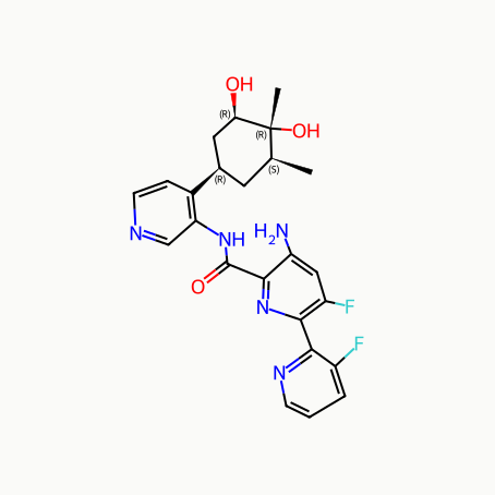 C[C@H]1C[C@@H](c2ccncc2NC(=O)c2nc(-c3ncccc3F)c(F)cc2N)C[C@@H](O)[C@]1(C)O